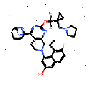 [2H]C([2H])(Oc1nc2c(c(N3CC4CCC3CN4)n1)CCN(c1cc(O)cc3ccc(F)c(CC)c13)C2)C1(CN2CCCC2)CC1